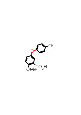 COc1ccc(Oc2ccc(C(F)(F)F)cc2)cc1C(=O)O